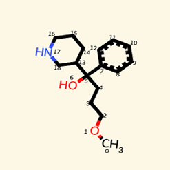 COCCCC(O)(c1ccccc1)C1CCCNC1